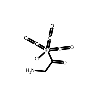 NC[C](=O)[Ru]([Cl])(=[C]=O)(=[C]=O)=[C]=O